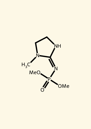 COP(=O)(/N=C1/NCCN1C)OC